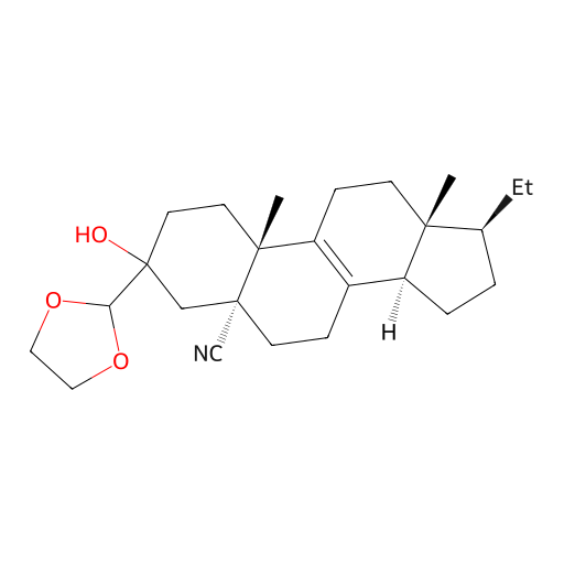 CC[C@H]1CC[C@H]2C3=C(CC[C@]12C)[C@@]1(C)CCC(O)(C2OCCO2)C[C@]1(C#N)CC3